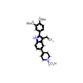 COc1ccc(-c2[nH]c3ccc(C4=CCN(C(=O)O)CC4)cc3c2CC(F)(F)F)cc1OC